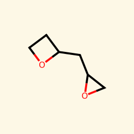 C1CC(CC2CO2)O1